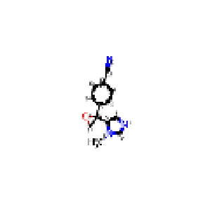 Cn1cncc1C1(c2ccc(C#N)cc2)CO1